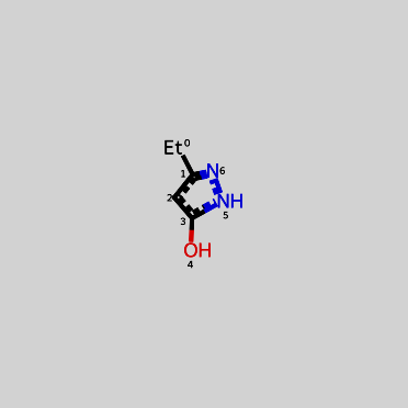 [CH2]Cc1cc(O)[nH]n1